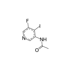 CC(=O)Nc1cncc(F)c1I